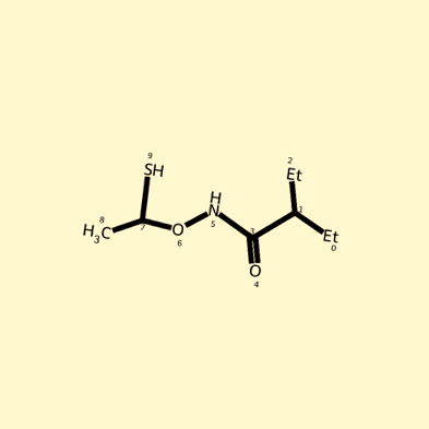 CCC(CC)C(=O)NOC(C)S